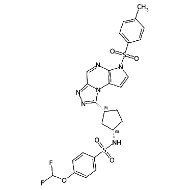 Cc1ccc(S(=O)(=O)n2ccc3c2ncc2nnc([C@@H]4CC[C@H](NS(=O)(=O)c5ccc(OC(F)F)cc5)C4)n23)cc1